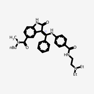 CCCCN(C)C(=O)c1ccc2c(c1)/C(=C(/Nc1ccc(C(=O)NCCN(CC)CC)cc1)c1ccccc1)C(=O)N2